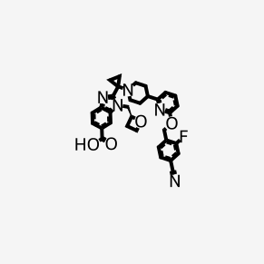 N#Cc1ccc(COc2cccc(C3CCN(C4(c5nc6ccc(C(=O)O)cc6n5C[C@@H]5CCO5)CC4)CC3)n2)c(F)c1